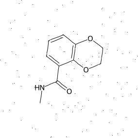 CNC(=O)c1cccc2c1OCCO2